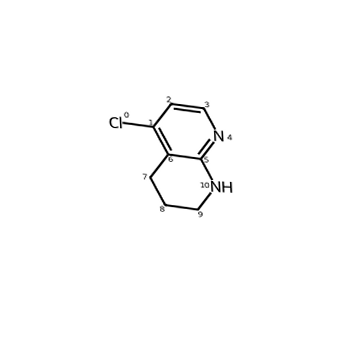 Clc1ccnc2c1CCCN2